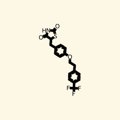 O=C1NC(=O)C(Cc2ccc(OCCc3ccc(C(F)(F)F)cc3)cc2)S1